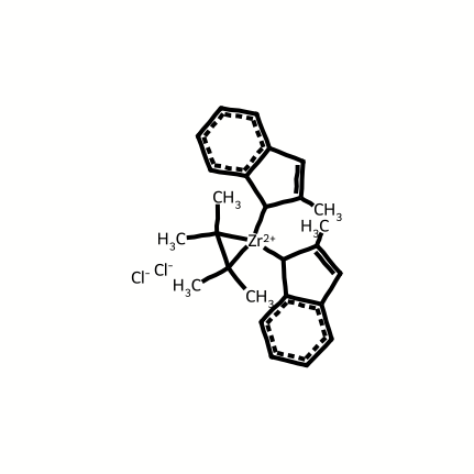 CC1=Cc2ccccc2[CH]1[Zr+2]1([CH]2C(C)=Cc3ccccc32)[C](C)(C)[C]1(C)C.[Cl-].[Cl-]